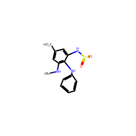 CCCCNc1cc(C(=O)O)cc(N[SH](=O)=O)c1Nc1ccccc1